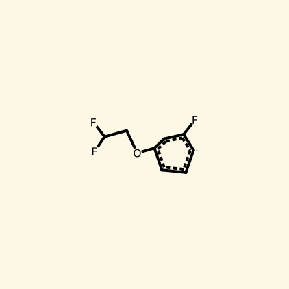 Fc1[c]ccc(OCC(F)F)c1